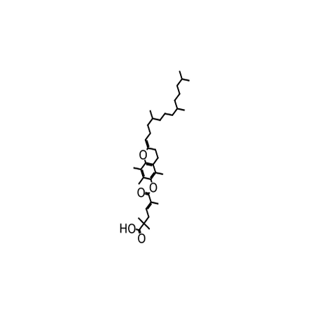 C/C(=C\CC(C)(C)C(=O)O)C(=O)Oc1c(C)c(C)c2c(c1C)CC/C(=C\CCC(C)CCCC(C)CCCC(C)C)O2